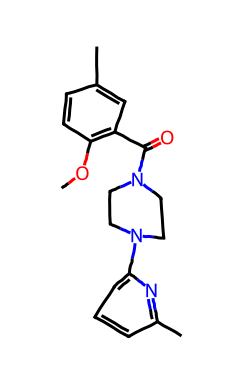 COc1ccc(C)cc1C(=O)N1CCN(c2cccc(C)n2)CC1